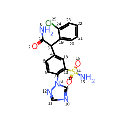 NC(=O)C(c1ccc(-n2cncn2)c(S(N)(=O)=O)c1)c1ccccc1Cl